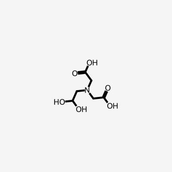 O=C(O)CN(CC(=O)O)CC(O)O